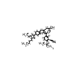 CCCCc1nc(-c2ccc(CC(CCO)NC(=O)c3ccc(OC(C)C)c(C#N)c3)cc2)cn1CC